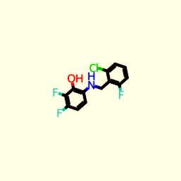 Oc1c(NCc2c(F)cccc2Cl)ccc(F)c1F